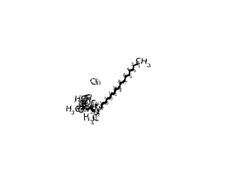 CCCCCCCCCCCCCCCCCC[N+](CC)(CC)CCC[Si](OC)(OC)OC.[Cl-]